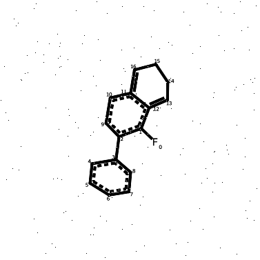 Fc1c(-c2ccccc2)ccc2c1=CCCC=2